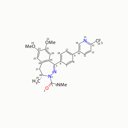 CNC(=O)N1N=C(c2ccc(-c3ccc(C(F)(F)F)nc3)cc2)c2cc(OC)c(OC)cc2C[C@H]1C